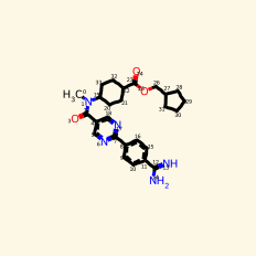 CN(C(=O)c1cnc(-c2ccc(C(=N)N)cc2)nc1)C1CCC(C(=O)OCC2CCCC2)CC1